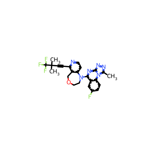 Cc1nnc2nc(N3CCOCc4c3ccnc4C#CC(C)(C)C(F)(F)F)c3cc(F)ccc3n12